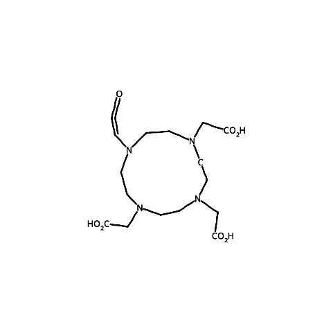 O=C=CN1CCN(CC(=O)O)CCN(CC(=O)O)CCN(CC(=O)O)CC1